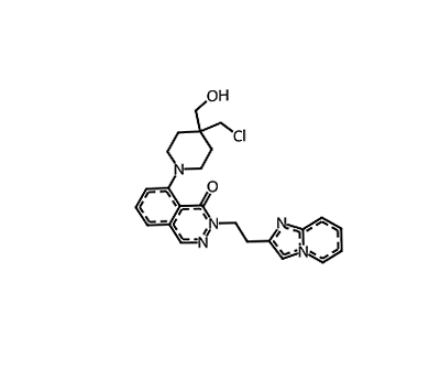 O=c1c2c(N3CCC(CO)(CCl)CC3)cccc2cnn1CCc1cn2ccccc2n1